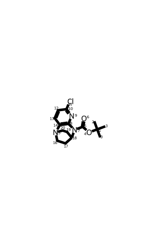 CC(C)(C)OC(=O)N1c2nc(Cl)ccc2N2CCC1CC2